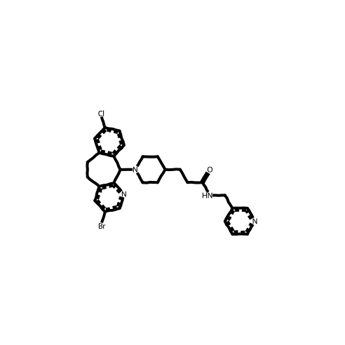 O=C(CCC1CCN(C2c3ccc(Cl)cc3CCc3cc(Br)cnc32)CC1)NCc1cccnc1